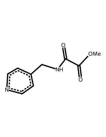 COC(=O)C(=O)NCc1ccncc1